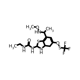 CCNC(=O)NC1NC2CC(OSC(F)(F)F)=CC(C(C)NOC)=C2S1